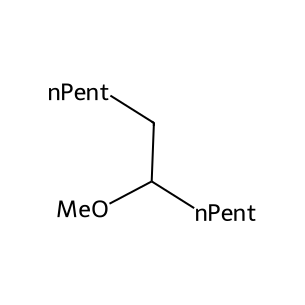 CCCCCCC(CCCCC)OC